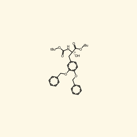 CCC(C)OC(=O)[C@@](O)(Cc1ccc(OCc2ccccc2)c(OCc2ccccc2)c1)NC(=O)OC(C)(C)C